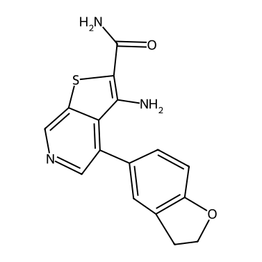 NC(=O)c1sc2cncc(-c3ccc4c(c3)CCO4)c2c1N